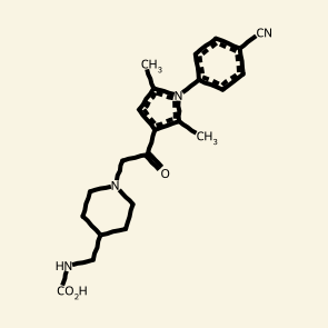 Cc1cc(C(=O)CN2CCC(CNC(=O)O)CC2)c(C)n1-c1ccc(C#N)cc1